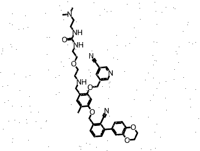 Cc1cc(CNCCOCCNC(=O)NCCN(C)C)c(OCc2cncc(C#N)c2)cc1OCc1cccc(-c2ccc3c(c2)OCCO3)c1C#N